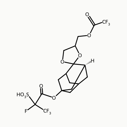 O=C(OCC1COC2(O1)C1CC3C[C@H]2CC(OC(=O)C(F)(C(F)(F)F)S(=O)(=O)O)(C3)C1)C(F)(F)F